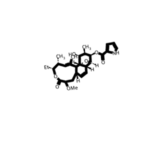 CC[C@H]1OC(=O)C(OC)C[C@H]2C=C[C@H]3[C@H]4O[C@]2(/C(C)=C/[C@H]1C)[C@@H]3[C@H](O)[C@@H](C)[C@H]4OC(=O)c1ccc[nH]1